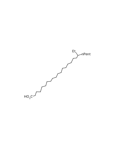 [CH2]CCCCC(CC)CCCCCCCCCCCCCCCCCC(=O)O